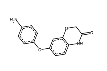 Nc1ccc(Oc2ccc3c(c2)OCC(=O)N3)cc1